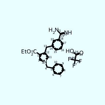 CCOC(=O)c1cn(Cc2ccccc2)cc1Cc1cccc(C(=N)N)c1.O=C(O)C(F)(F)F